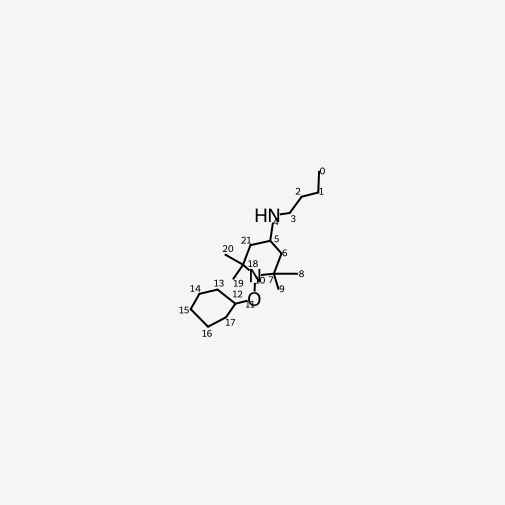 CCCCNC1CC(C)(C)N(OC2CCCCC2)C(C)(C)C1